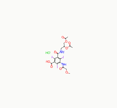 COCC(=O)Nc1c(I)c(C(=O)O)c(I)c(C(=O)NCC(COC(C)=O)OC(C)=O)c1I.Cl